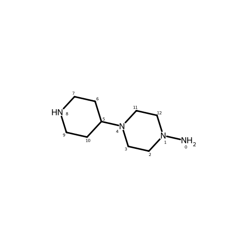 NN1CCN(C2CCNCC2)CC1